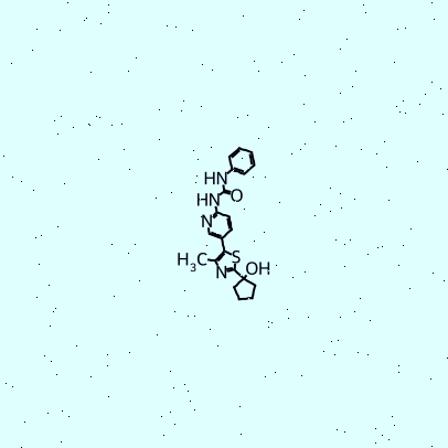 Cc1nc(C2(O)CCCC2)sc1-c1ccc(NC(=O)Nc2ccccc2)nc1